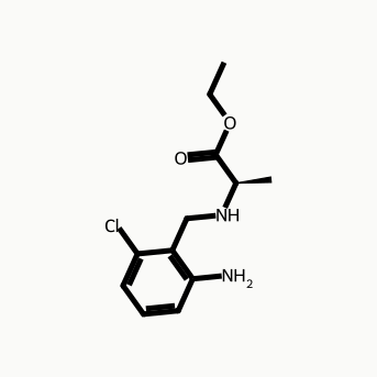 CCOC(=O)[C@@H](C)NCc1c(N)cccc1Cl